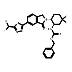 O=C(N[C@@H]1CC(F)(F)CC[C@H]1N1Cc2ccc(-c3nnc(C(F)F)o3)cc2C1=O)OCc1ccccc1